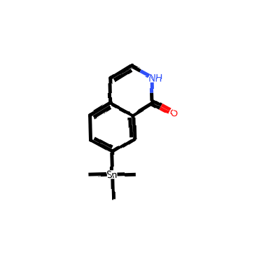 [CH3][Sn]([CH3])([CH3])[c]1ccc2cc[nH]c(=O)c2c1